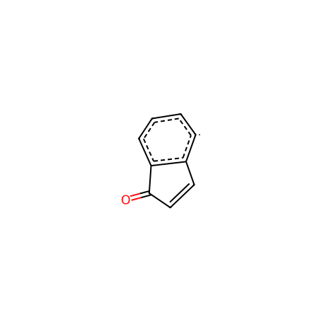 O=C1C=Cc2[c]cccc21